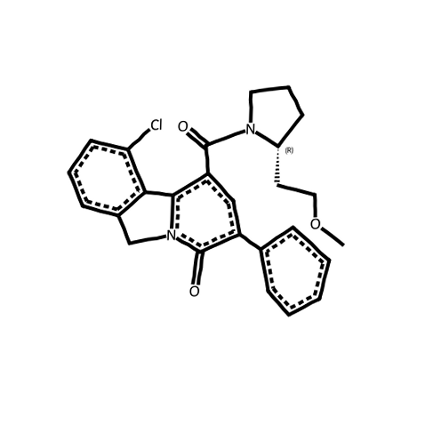 COCC[C@H]1CCCN1C(=O)c1cc(-c2ccccc2)c(=O)n2c1-c1c(Cl)cccc1C2